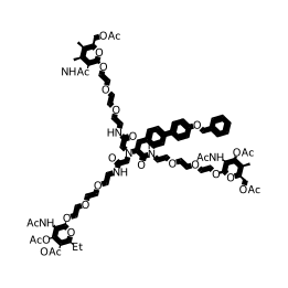 CC[C@H]1O[C@@H](OCCOCCOCCNC(=O)CN(CC(=O)NCCOCCOCCO[C@@H]2O[C@H](COC(C)=O)[C@H](C)[C@H](C)[C@H]2NC(C)=O)C(Cc2ccc(-c3ccc(OCc4ccccc4)cc3)cc2)C(=O)NCCOCCOCCO[C@@H]2O[C@H](COC(C)=O)[C@H](C)[C@H](OC(C)=O)[C@H]2NC(C)=O)[C@H](NC(C)=O)[C@@H](OC(C)=O)[C@H]1OC(C)=O